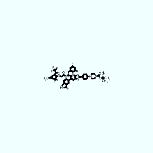 CC1C2c3c(C(F)(F)F)nn(CC(=O)N[C@@H](Cc4cc(F)cc(F)c4)c4nc5nc(-c6ccc(N7CCN(C(=O)OC(C)(C)C)CC7)cc6)sc5cc4-c4ccc5c(c4)C(=O)NC5)c3C(F)(F)C12